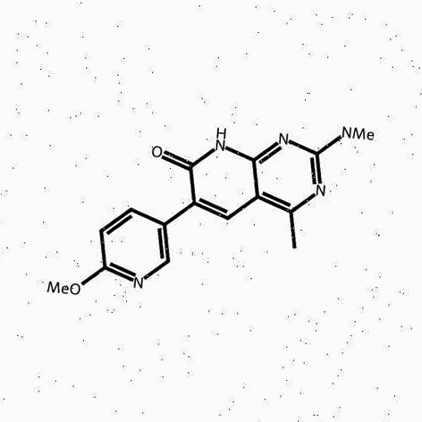 CNc1nc(C)c2cc(-c3ccc(OC)nc3)c(=O)[nH]c2n1